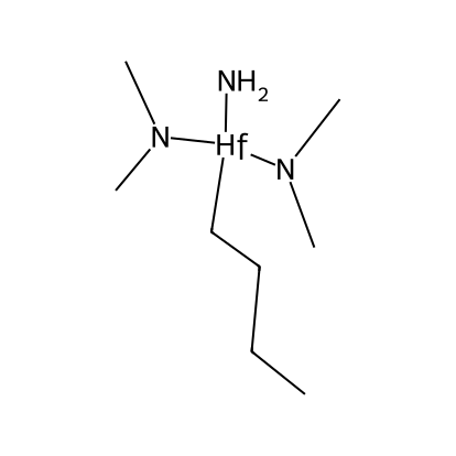 CCC[CH2][Hf]([NH2])([N](C)C)[N](C)C